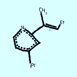 CC/C=C(\C)c1cc(C(C)C)ccn1